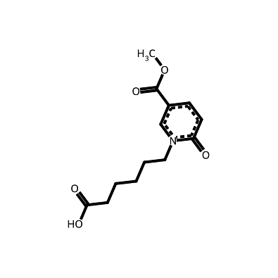 COC(=O)c1ccc(=O)n(CCCCCC(=O)O)c1